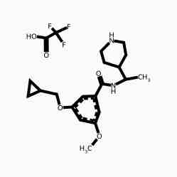 COc1cc(OCC2CC2)cc(C(=O)NC(C)C2CCNCC2)c1.O=C(O)C(F)(F)F